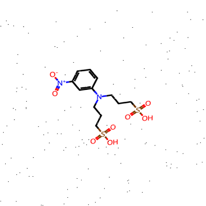 O=[N+]([O-])c1cccc(N(CCCS(=O)(=O)O)CCCS(=O)(=O)O)c1